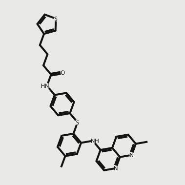 Cc1ccc(Sc2ccc(NC(=O)CCCc3ccsc3)cc2)c(Nc2ccnc3nc(C)ccc23)c1